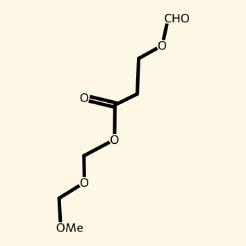 COCOCOC(=O)CCOC=O